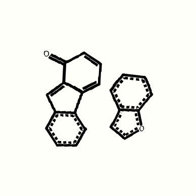 O=C1C=CC=C2C1=Cc1ccccc12.c1ccc2occc2c1